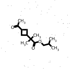 CC(=O)C1CC(C(C)(C)C(=O)OCC(C)C)C1